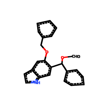 O=COC(c1ccccc1)c1cc2[nH]ccc2cc1OCc1ccccc1